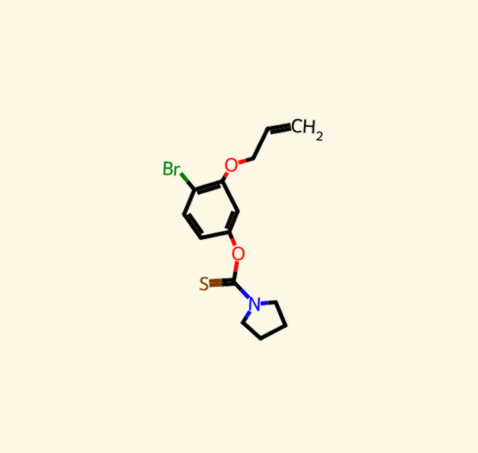 C=CCOc1cc(OC(=S)N2CCCC2)ccc1Br